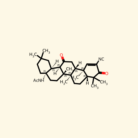 [C-]#[N+]C1=C[C@]2(C)[C@H]3CC(=O)[C@@H]4[C@@H]5CC(C)(C)CC[C@]5(NC(C)=O)CC[C@@]4(C)[C@]3(C)CC[C@H]2C(C)(C)C1=O